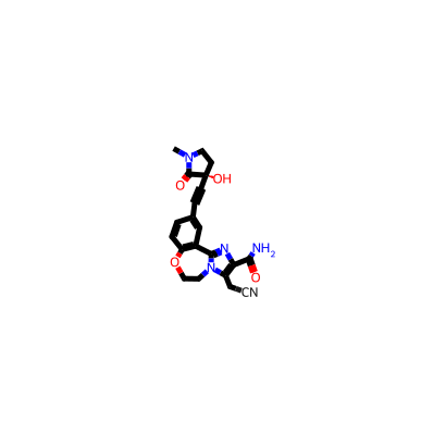 CN1CC[C@@](O)(C#Cc2ccc3c(c2)-c2nc(C(N)=O)c(CC#N)n2CCO3)C1=O